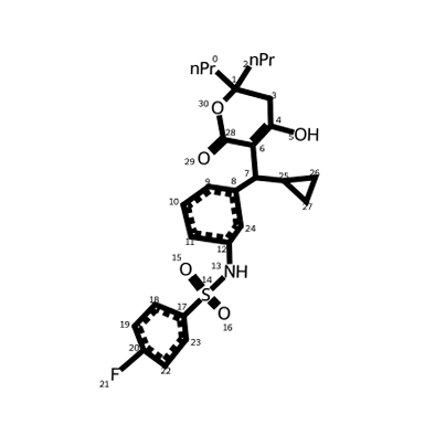 CCCC1(CCC)CC(O)=C(C(c2cccc(NS(=O)(=O)c3ccc(F)cc3)c2)C2CC2)C(=O)O1